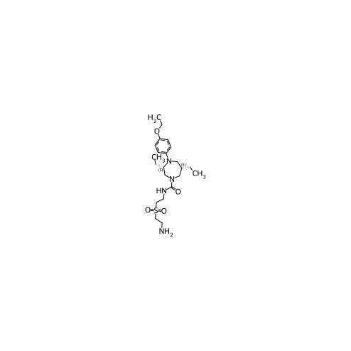 CCOc1ccc(N2C[C@H](CC)CN(C(=O)NCCS(=O)(=O)CCN)C[C@@H]2CC)cc1